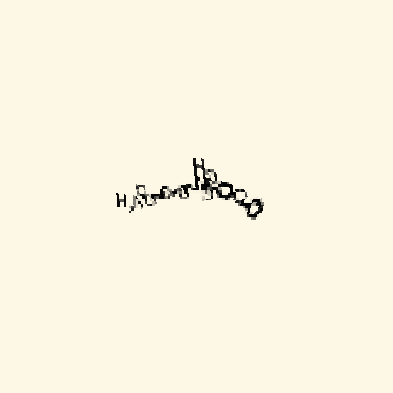 NC(=O)OCCOCCOCCNS(=O)(=O)c1ccc(OCc2ccccc2)cc1